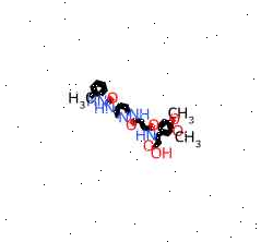 COc1ccc(C(CC(=O)O)NC(=O)CCC(=O)Nc2ccc(NC(=O)Nc3ccccc3C)cn2)cc1OC